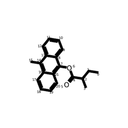 CCC(C)C(=O)Oc1c2ccccc2c(C)c2ccccc12